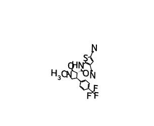 CN1C[C@H](c2ccc(C(F)(F)F)cc2)[C@@H](C(=O)Nc2sc(C#N)cc2C#N)C1=O